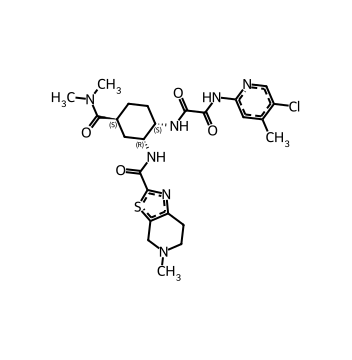 Cc1cc(NC(=O)C(=O)N[C@H]2CC[C@H](C(=O)N(C)C)C[C@H]2NC(=O)c2nc3c(s2)CN(C)CC3)ncc1Cl